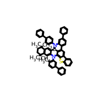 Cc1ccc(-c2ccccc2)cc1N1c2cc3c(cc2B2c4c(cc5c(sc6ccccc65)c41)-c1ccc(-c4ccccc4)cc1N2c1ccc(-c2ccccc2)cc1)C(C)(C)CCC3(C)C